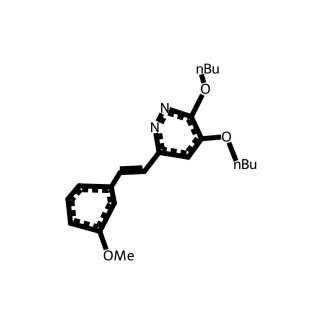 CCCCOc1cc(/C=C/c2cccc(OC)c2)nnc1OCCCC